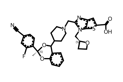 C[C@@]1(c2ccc(C#N)cc2F)Oc2ccccc2C(C2CCN(Cc3nc4cc(C(=O)O)sc4n3C[C@@H]3CCO3)CC2)O1